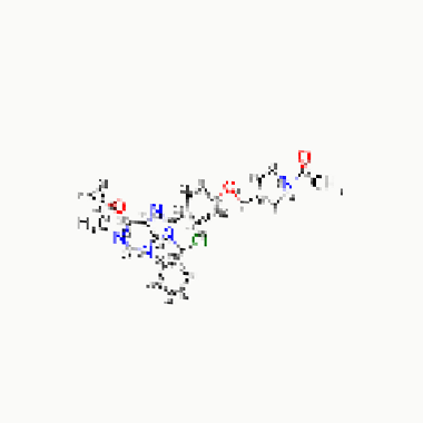 CC(=O)N1CCC(COc2ccc(-c3nc4c(OC5(C)CC5)ncnc4n3Cc3ccccc3)c(Cl)c2)CC1